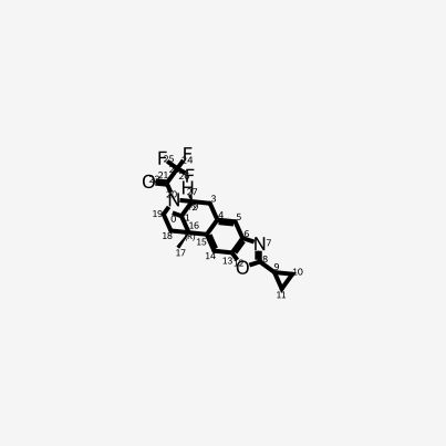 CC1[C@H]2Cc3cc4nc(C5CC5)oc4cc3[C@]1(C)CCN2C(=O)C(F)(F)F